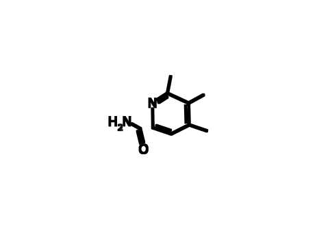 Cc1ccnc(C)c1C.NC=O